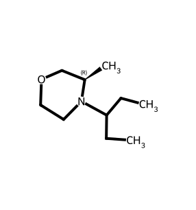 CCC(CC)N1CCOC[C@H]1C